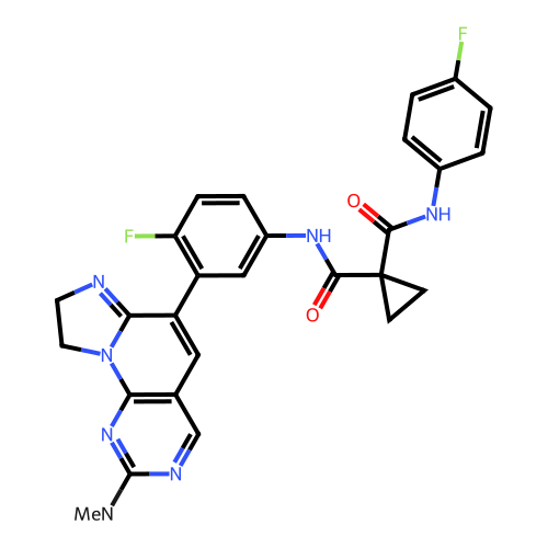 CNc1ncc2c(n1)N1CCN=C1C(c1cc(NC(=O)C3(C(=O)Nc4ccc(F)cc4)CC3)ccc1F)=C2